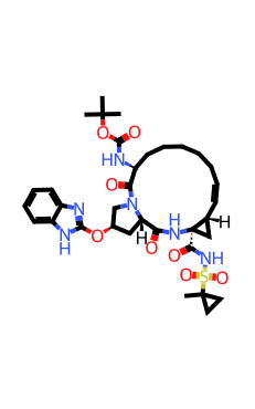 CC(C)(C)OC(=O)N[C@H]1CCCCC/C=C\[C@@H]2C[C@@]2(C(=O)NS(=O)(=O)C2(C)CC2)NC(=O)[C@@H]2C[C@@H](Oc3nc4ccccc4[nH]3)CN2C1=O